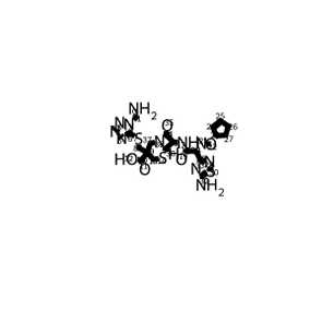 NCn1nnnc1SCC1(C(=O)O)CS[C@@H]2C(NC(=O)C(=NOC3C=CCC3)c3nsc(N)n3)C(=O)N2C1